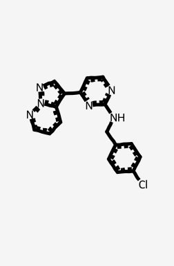 Clc1ccc(CNc2nccc(-c3cnn4ncccc34)n2)cc1